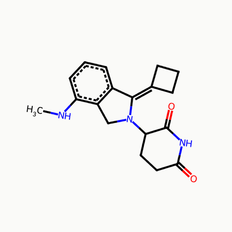 CNc1cccc2c1CN(C1CCC(=O)NC1=O)C2=C1CCC1